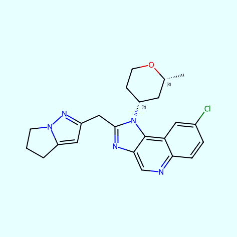 C[C@@H]1C[C@H](n2c(Cc3cc4n(n3)CCC4)nc3cnc4ccc(Cl)cc4c32)CCO1